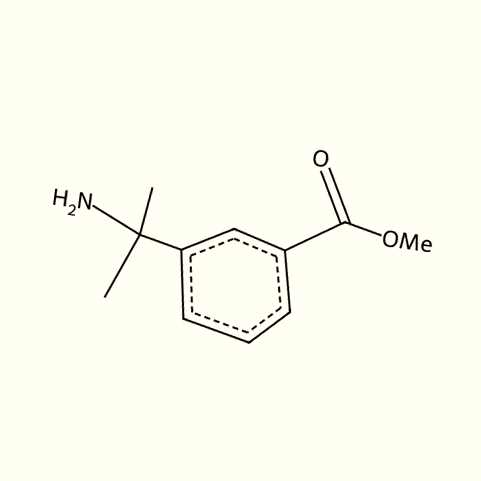 COC(=O)c1cccc(C(C)(C)N)c1